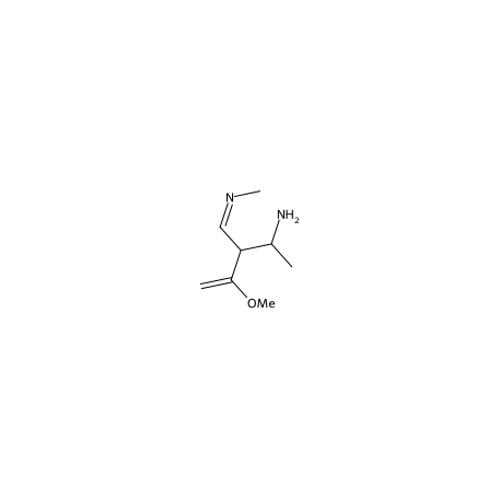 C=C(OC)C(/C=N\C)C(C)N